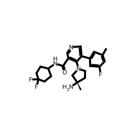 Cc1cc(F)cc(-c2cncc(C(=O)NC3CCC(F)(F)CC3)c2N2CC[C@](C)(N)C2)c1